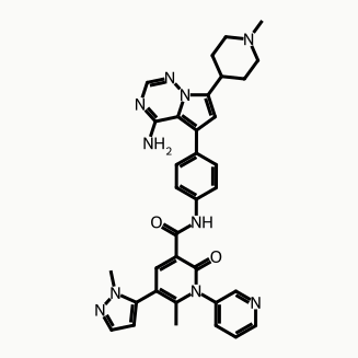 Cc1c(-c2ccnn2C)cc(C(=O)Nc2ccc(-c3cc(C4CCN(C)CC4)n4ncnc(N)c34)cc2)c(=O)n1-c1cccnc1